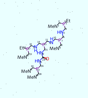 CCP(CNC)CNCP(CNC)CNCP(CNCP(CC)CNC)CNC(=O)NCP(CNC)CNC